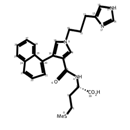 CSCC[C@H](NC(=O)c1cn(CCCc2c[nH]cn2)cc1-c1cccc2ccccc12)C(=O)O